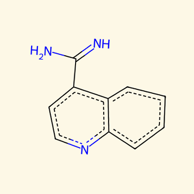 N=C(N)c1ccnc2ccccc12